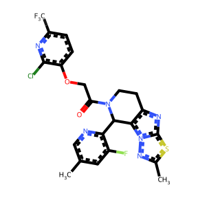 Cc1cnc(C2c3c(nc4sc(C)nn34)CCN2C(=O)COc2ccc(C(F)(F)F)nc2Cl)c(F)c1